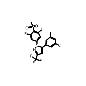 Cc1cc(Cl)cc(-c2cc(C(F)(F)F)nn2-c2cc(F)c(S(C)(=O)=O)c(F)c2)c1